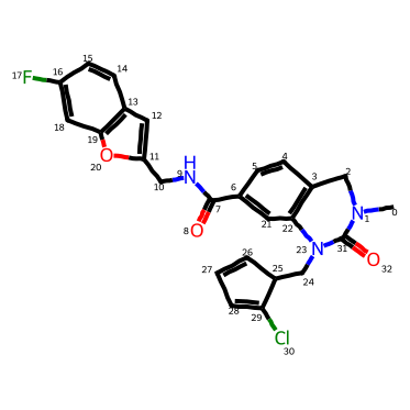 CN1Cc2ccc(C(=O)NCc3cc4ccc(F)cc4o3)cc2N(CC2C=CC=C2Cl)C1=O